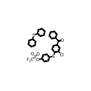 O=C(c1ccccc1)c1ccc(Sc2ccc(OS(=O)(=O)C(F)(F)F)cc2)c(Cl)c1.c1ccc(Sc2ccccc2)cc1